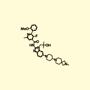 COc1ccccc1-c1nc(C)cc(C(=O)Nc2nc3ccc(N4CCC(N5CCC6(CC5)CN(C)C6)CC4)cc3n2CC(C)(C)O)c1F